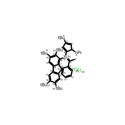 CCCC1C=C(C(C)(C)C)C=[C]1/[Zr+2](=[C](\C)c1ccccc1)[c]1c2c(cc(C(C)(C)C)c1C(C)(C)C)-c1cc(C(C)(C)C)c(C(C)(C)C)cc1C2.[Cl-].[Cl-]